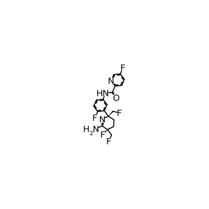 NC1=N[C@](CF)(c2cc(NC(=O)c3ccc(F)cn3)ccc2F)CC[C@]1(F)CF